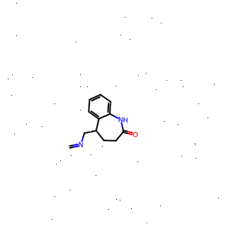 C=NCC1CCC(=O)Nc2ccccc21